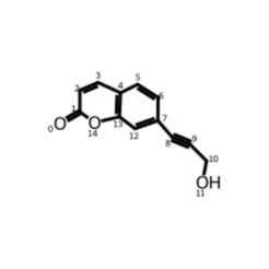 O=c1ccc2ccc(C#CCO)cc2o1